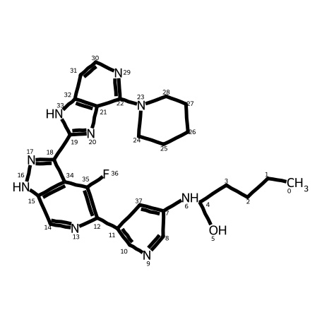 CCCCC(O)Nc1cncc(-c2ncc3[nH]nc(-c4nc5c(N6CCCCC6)nccc5[nH]4)c3c2F)c1